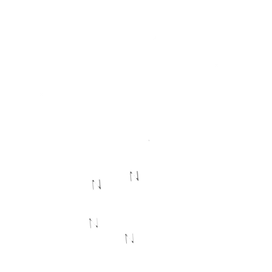 Cc1cccc(C(c2ccccc2)(c2ccccc2)n2cnnn2)c1